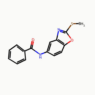 BSc1nc2cc(NC(=O)c3ccccc3)ccc2o1